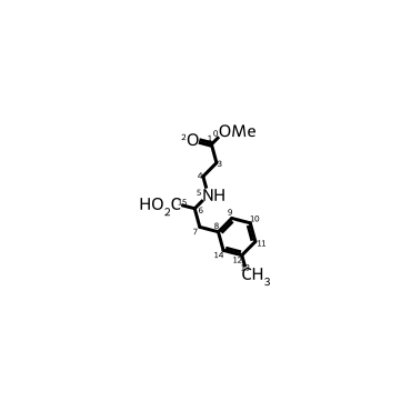 COC(=O)CCNC(Cc1cccc(C)c1)C(=O)O